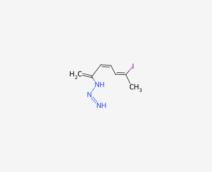 C=C(/C=C\C=C(\C)I)NN=N